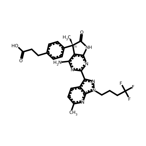 Cc1ccc2c(-c3nc(N)c4c(n3)NC(=O)[C@@]4(C)c3ccc(CCC(=O)O)cc3)nn(CCCC(F)(F)F)c2n1